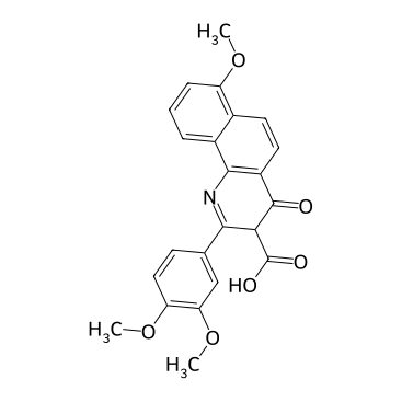 COc1ccc(C2=Nc3c(ccc4c(OC)cccc34)C(=O)C2C(=O)O)cc1OC